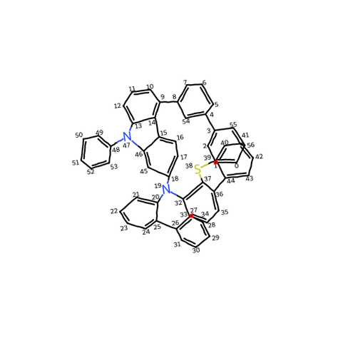 c1ccc(-c2cccc(-c3cccc4c3c3ccc(N(c5ccccc5-c5ccccc5)c5cccc6c5sc5ccccc56)cc3n4-c3ccccc3)c2)cc1